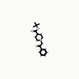 CC(C)(C)OC(=O)C1CCN(CC(=O)c2ccccc2)CC1